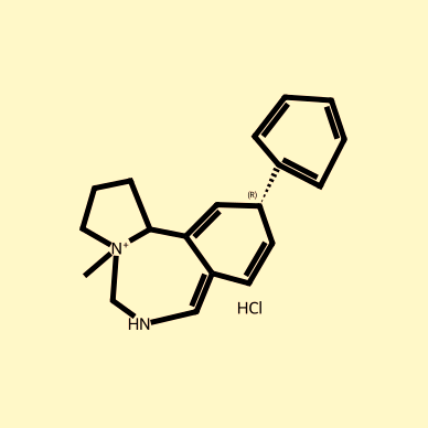 C[N+]12CCCC1C1=C[C@H](c3ccccc3)C=CC1=CNC2.Cl